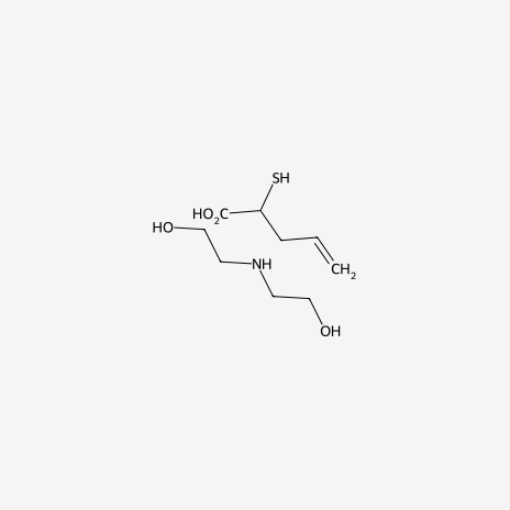 C=CCC(S)C(=O)O.OCCNCCO